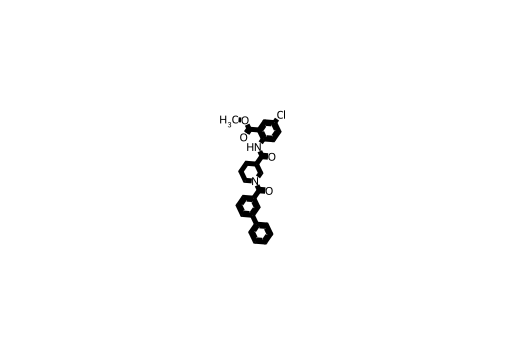 COC(=O)c1cc(Cl)ccc1NC(=O)C1CCCN(C(=O)c2cccc(-c3ccccc3)c2)C1